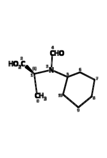 C[C@@H](C(=O)O)N(C=O)C1CCCCC1